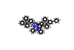 c1ccc(-c2ccc([Si](c3ccccc3)(c3ccccc3)c3ccc(-c4nc(-c5cccc([Si](c6ccccc6)(c6ccccc6)c6ccccc6)c5)nc(-c5ccccc5-n5c6ccccc6c6ccccc65)n4)cc3)cc2)cc1